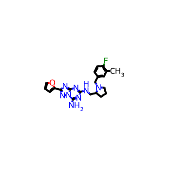 Cc1cc(CN2CCCC2CNc2nc(N)n3nc(-c4ccco4)nc3n2)ccc1F